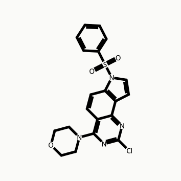 O=S(=O)(c1ccccc1)n1ccc2c3nc(Cl)nc(N4CCOCC4)c3ccc21